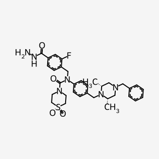 C[C@@H]1CN(Cc2ccccc2)C[C@H](C)N1Cc1ccc(N(Cc2ccc(C(=O)NN)cc2F)C(=O)N2CCS(=O)(=O)CC2)cc1